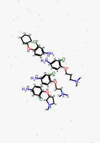 CN(C)CCCOc1ccc(N)cc1Cl.CN(C)CCOc1ccc(N)cc1Cl.CN1CCC(Oc2ccc(N)cc2Cl)C1.Nc1ccc(OC2CCCCC2)c(Cl)c1